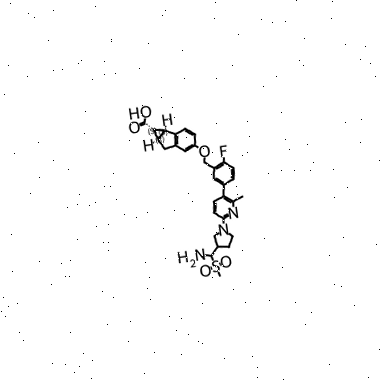 Cc1nc(N2CCC(C(N)S(C)(=O)=O)C2)ccc1-c1ccc(F)c(COc2ccc3c(c2)C[C@H]2[C@H](C(=O)O)[C@@H]32)c1